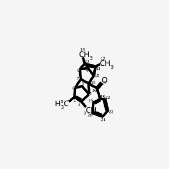 CC1=C(C)C2CC1C1C3CC(C(C)=C3C)C21C(=O)c1ccccc1